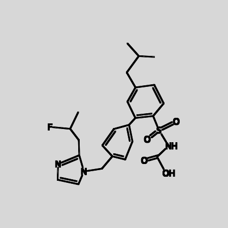 CC(C)Cc1ccc(S(=O)(=O)NC(=O)O)c(-c2ccc(Cn3ccnc3CC(C)F)cc2)c1